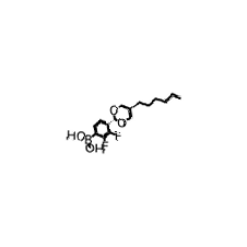 CCCCCC[C@H]1CO[C@H](c2ccc(B(O)O)c(F)c2F)OC1